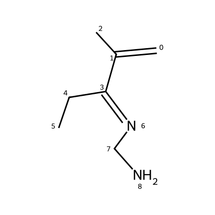 C=C(C)C(CC)=NCN